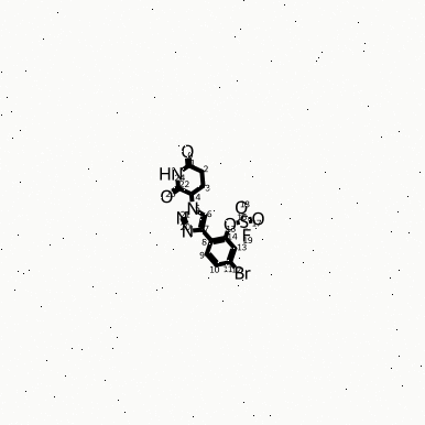 O=C1CCC(n2cc(-c3ccc(Br)cc3OS(=O)(=O)F)nn2)C(=O)N1